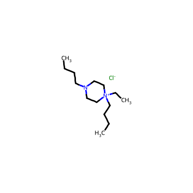 CCCCN1CC[N+](CC)(CCCC)CC1.[Cl-]